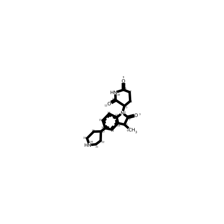 CC1C(=O)N(C2CCC(=O)NC2=O)c2ccc(C3CCNCC3)cc21